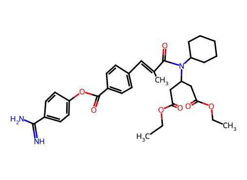 CCOC(=O)CC(CC(=O)OCC)N(C(=O)/C(C)=C/c1ccc(C(=O)Oc2ccc(C(=N)N)cc2)cc1)C1CCCCC1